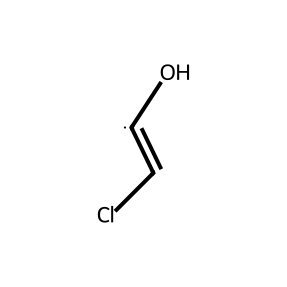 O[C]=CCl